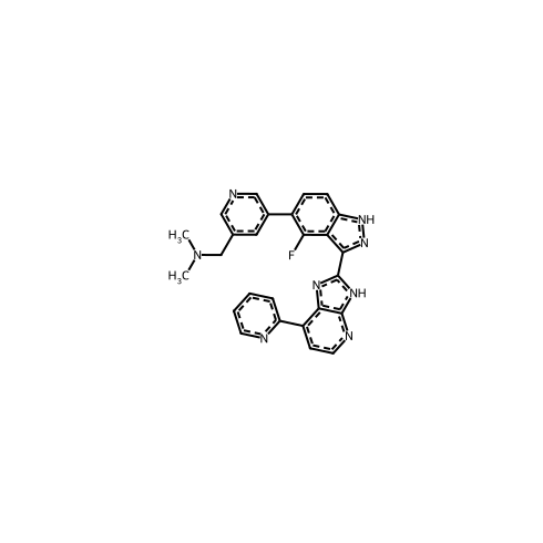 CN(C)Cc1cncc(-c2ccc3[nH]nc(-c4nc5c(-c6ccccn6)ccnc5[nH]4)c3c2F)c1